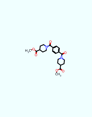 COC(=O)C1CCN(C(=O)c2ccc(C(=O)N3CCC(C(=O)OC)CC3)cc2)CC1